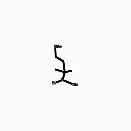 CCN(C(C)(C)C)C(C)(C)CCSC